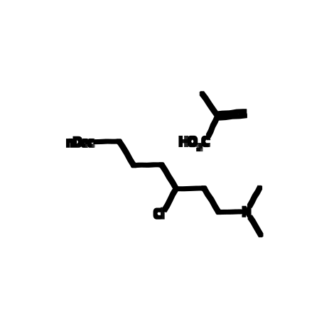 C=C(C)C(=O)O.CCCCCCCCCCCCCC(Cl)CCN(C)C